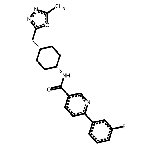 Cc1nnc(C[C@H]2CC[C@@H](NC(=O)c3ccc(-c4cccc(F)c4)nc3)CC2)o1